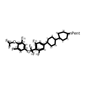 CCCCCC1CCC(C2CCC(c3cc(F)c(C(F)(F)Oc4cc(F)c(OC(F)F)c(F)c4)c(F)c3)CC2)CC1